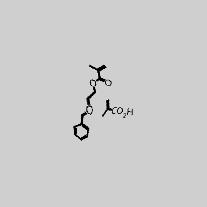 C=C(C)C(=O)O.C=C(C)C(=O)OCCOCc1ccccc1